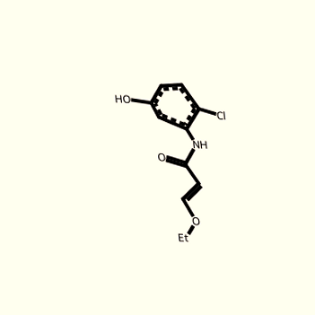 CCO/C=C/C(=O)Nc1cc(O)ccc1Cl